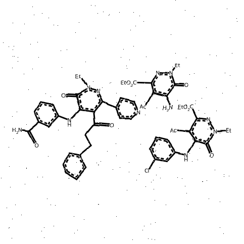 CCOC(=O)c1nn(CC)c(=O)c(N)c1C(C)=O.CCOC(=O)c1nn(CC)c(=O)c(Nc2cccc(Cl)c2)c1C(C)=O.CCn1nc(-c2ccncc2)c(C(=O)CCc2ccccc2)c(Nc2cccc(C(N)=O)c2)c1=O